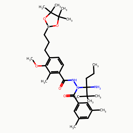 CCCC(N)(N(NC(=O)c1ccc(CCCB2OC(C)(C)C(C)(C)O2)c(OC)c1C)C(=O)c1cc(C)cc(C)c1)C(C)(C)C